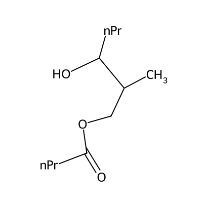 CCCC(=O)OCC(C)C(O)CCC